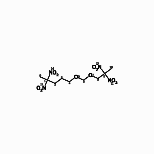 CC(CCCOCOCC(C)([N+](=O)[O-])[N+](=O)[O-])([N+](=O)[O-])[N+](=O)[O-]